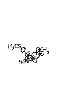 CSc1ccc(-c2ccc(C3(CC(=O)NO)CCN(S(C)(=O)=O)CCS3(=O)=O)s2)cc1